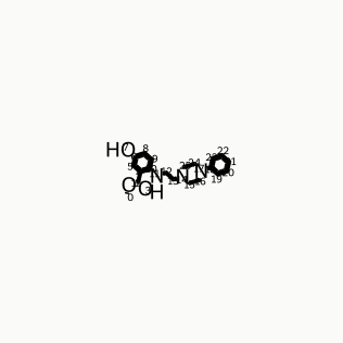 COC(=O)c1cc(O)ccc1NCCN1CCN(c2ccccc2)CC1